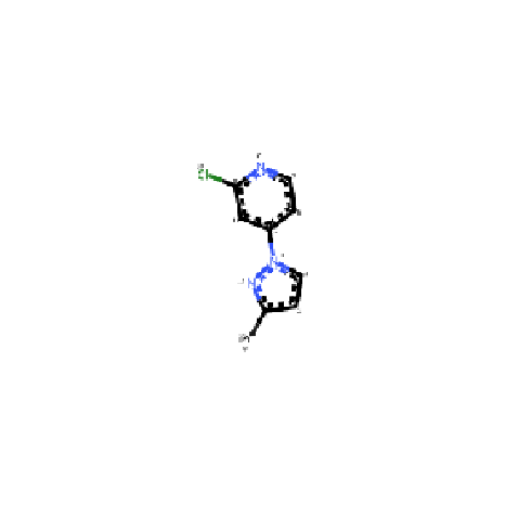 CC(C)c1ccn(-c2ccnc(Cl)c2)n1